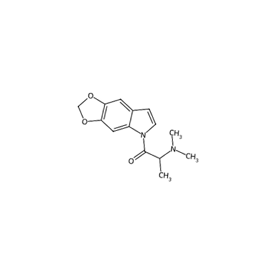 CC(C(=O)n1ccc2cc3c(cc21)OCO3)N(C)C